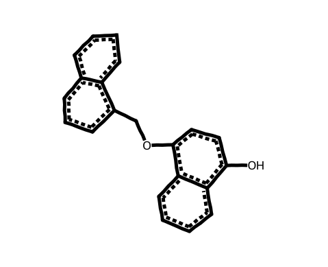 Oc1ccc(OCc2cccc3ccccc23)c2ccccc12